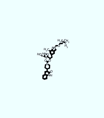 Cc1cc(CC(OC(=O)N2CCC(c3cc4ccccc4[nH]c3=O)CC2)C2=N[C@@H](CO)NO2)cc2cn(COCC[Si](C)(C)C)nc12